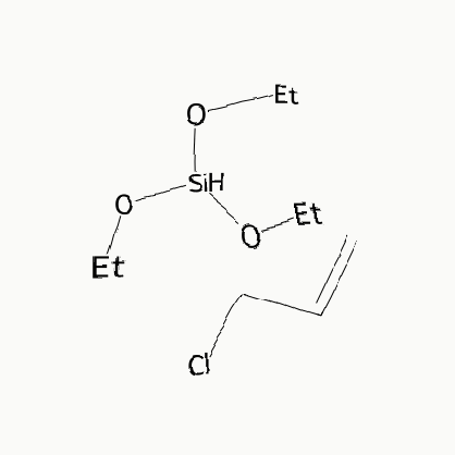 C=CCCl.CCO[SiH](OCC)OCC